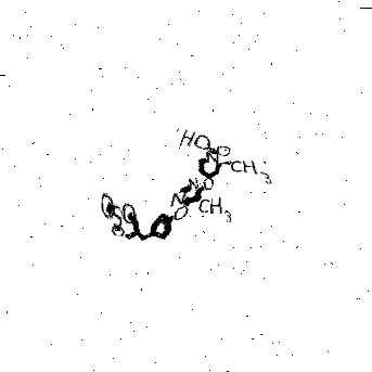 CC[C@H]1C[C@H](Oc2ncnc(Oc3ccc(CC4COS(=O)OC4)cc3)c2C)CCN1C(=O)O